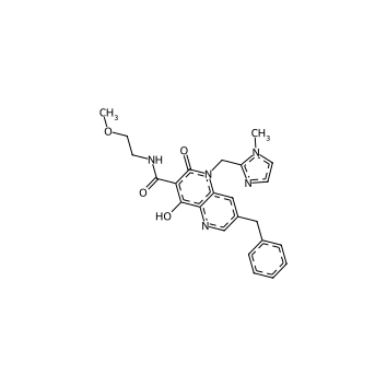 COCCNC(=O)c1c(O)c2ncc(Cc3ccccc3)cc2n(Cc2nccn2C)c1=O